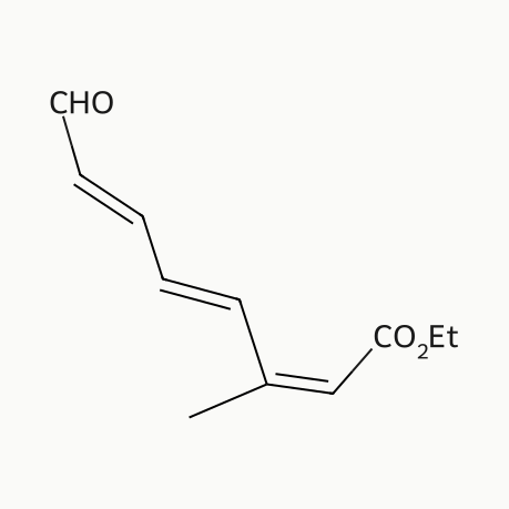 CCOC(=O)C=C(C)C=CC=CC=O